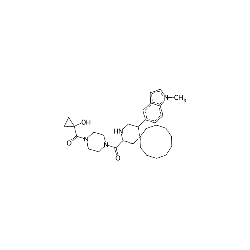 Cn1ccc2cc(C3CNC(C(=O)N4CCN(C(=O)C5(O)CC5)CC4)CC34CCCCCCCCC4)ccc21